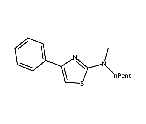 CCCCCN(C)c1nc(-c2ccccc2)cs1